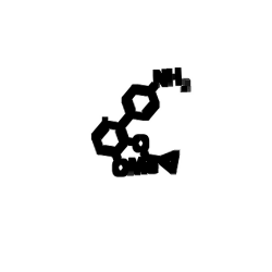 COc1cc[c]c(-c2ccc(N)cc2)c1OCC1CC1